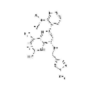 CC(=N)c1nc(-c2cccnc2N(C)C)cc(NCc2cnn(C)c2)c1NC(C)C